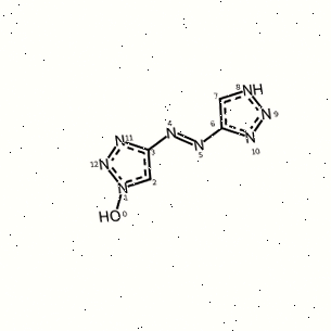 On1cc(N=Nc2c[nH]nn2)nn1